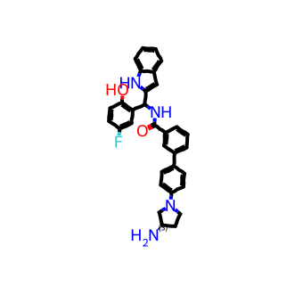 N[C@H]1CCN(c2ccc(-c3cccc(C(=O)NC(c4cc5ccccc5[nH]4)c4cc(F)ccc4O)c3)cc2)C1